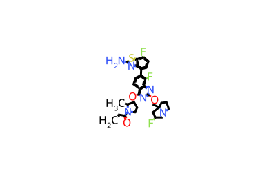 C=CC(=O)N1CCC(Oc2nc(OCC34CCCN3CC(F)C4)nc3c(F)c(-c4ccc(F)c5sc(N)nc45)ccc23)C1C